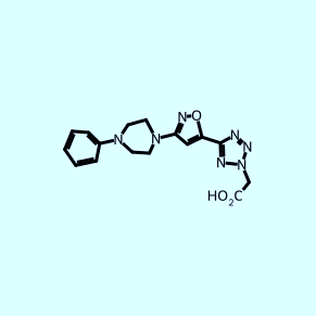 O=C(O)Cn1nnc(-c2cc(N3CCN(c4ccccc4)CC3)no2)n1